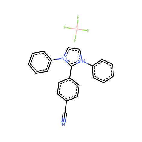 F[B-](F)(F)F.N#Cc1ccc(-c2n(-c3ccccc3)cc[n+]2-c2ccccc2)cc1